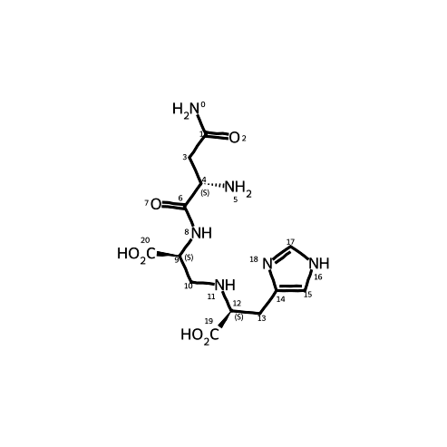 NC(=O)C[C@H](N)C(=O)N[C@@H](CN[C@@H](Cc1c[nH]cn1)C(=O)O)C(=O)O